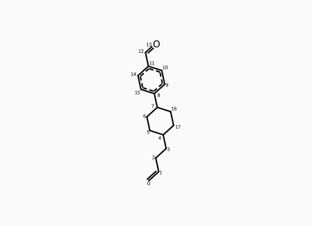 C=CCCC1CCC(c2ccc(C=O)cc2)CC1